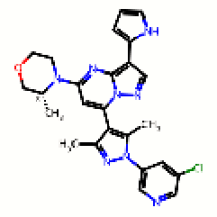 Cc1nn(-c2cncc(Cl)c2)c(C)c1-c1cc(N2CCOC[C@H]2C)nc2c(-c3ccc[nH]3)cnn12